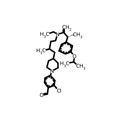 C=C([C@H](C)c1cccc(OC(C)C)c1)N(CC)CCC(C)CC1CCN(c2ccc(C=O)c(Cl)c2)CC1